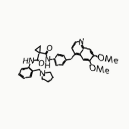 COc1cc2nccc(Cc3ccc(NC(=O)C4(C(=O)Nc5ccccc5CN5CCCC5)CC4)cc3)c2cc1OC